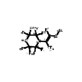 CCO/C(F)=C(/N1C(F)(F)C(F)(F)OC(F)(F)C1(F)F)C(F)(F)F